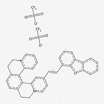 C(=C\c1cccc2c1oc1ccccc12)/c1cc[n+]2c(c1)-c1c(ccc3c1-c1cccc[n+]1CC3)CC2.O=S(=O)([O-])C(F)(F)F.O=S(=O)([O-])C(F)(F)F